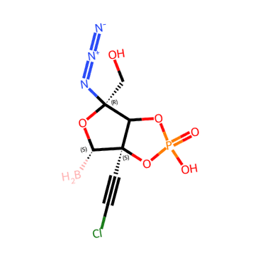 B[C@@H]1O[C@@](CO)(N=[N+]=[N-])C2OP(=O)(O)O[C@]21C#CCl